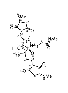 CNC(=O)CCN(C)P(=O)(N(C)CCN1C(=O)CC(SC)C1=O)N(C)CCN1C(=O)CC(SC)C1=O